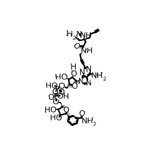 C#CCCC(CC)(CC(=O)NCC#Cc1nc(N)c2ncn([C@H]3O[C@@H](COP(=O)(O)OP(=O)(O)OC[C@H]4O[C@@H](c5cccc(C(N)=O)c5)C(O)C4O)C(O)C3O)c2n1)NN